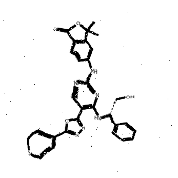 CC1(C)OC(=O)c2ccc(Nc3ncc(-c4nnc(C5=CCSC=C5)o4)c(N[C@H](CO)c4ccccc4)n3)cc21